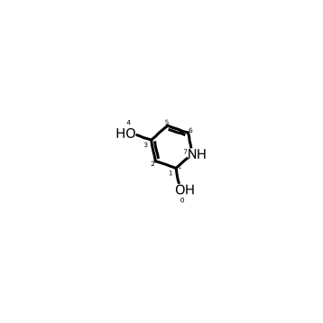 O[C]1C=C(O)C=CN1